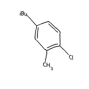 [CH2]C(CC)c1ccc(Cl)c(C)c1